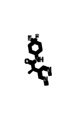 C=N/C=C(\C=N/C)[C@@H](C)C(=O)NC1CCC(F)(F)CC1